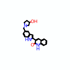 O=c1[nH]c2ccccc2cc1-c1cc2cc(CN3CCC(O)C3)ccc2[nH]1